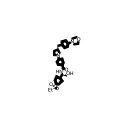 CCS(=O)(=O)c1ccc([C@H](CO)NC(=O)c2ccc(N3CC[C@@H](Cc4ccc(N5CCOCC5)cc4)C3)cc2)cc1